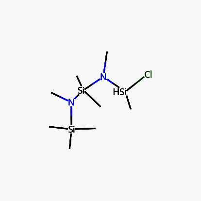 CN([SiH](C)Cl)[Si](C)(C)N(C)[Si](C)(C)C